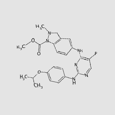 COC(=O)N1c2ccc(Nc3nc(Nc4ccc(OC(C)C)cc4)ncc3F)cc2CN1C